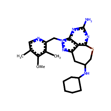 COc1c(C)cnc(Cn2nc3c4c(nc(N)nc42)SCC(NC2CCCCC2)C3)c1C